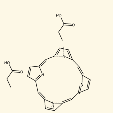 CCC(=O)O.CCC(=O)O.Cn1c2ccc1cc1nc(cc3ccc(cc4nc(c2)C=C4)[nH]3)C=C1